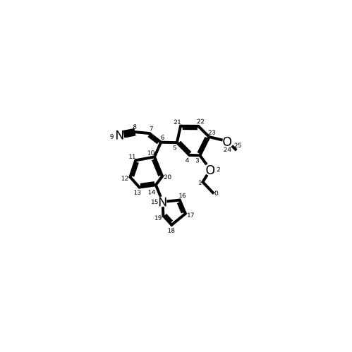 CCOc1cc(C(=CC#N)c2cccc(-n3cccc3)c2)ccc1OC